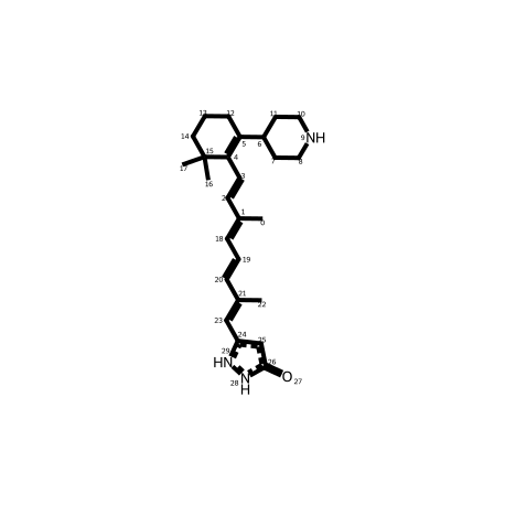 CC(/C=C/C1=C(C2CCNCC2)CCCC1(C)C)=C\C=C\C(C)=C\c1cc(=O)[nH][nH]1